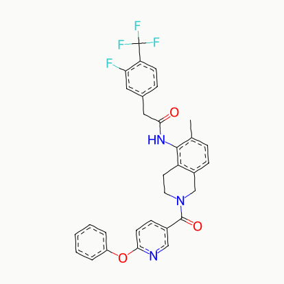 Cc1ccc2c(c1NC(=O)Cc1ccc(C(F)(F)F)c(F)c1)CCN(C(=O)c1ccc(Oc3ccccc3)nc1)C2